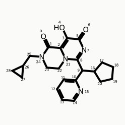 O=C1c2c(O)c(=O)nc(C(c3ccccn3)C3CCCC3)n2CCN1CC1CC1